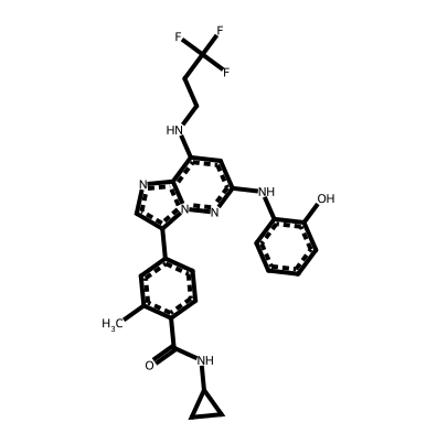 Cc1cc(-c2cnc3c(NCCC(F)(F)F)cc(Nc4ccccc4O)nn23)ccc1C(=O)NC1CC1